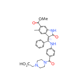 COC(=O)c1cc2c(cc1C)/C(=C(/Nc1ccc(C(=O)N3CCN(CC(=O)O)CC3)cc1)c1ccccc1)C(=O)N2